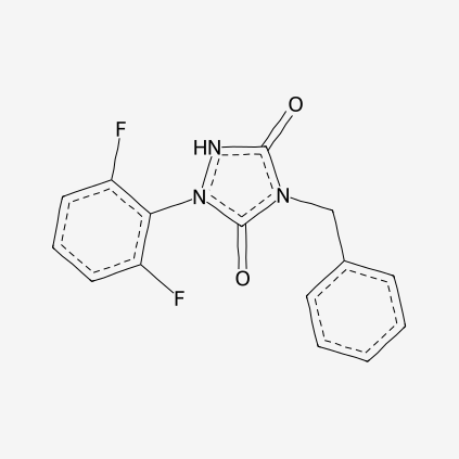 O=c1[nH]n(-c2c(F)cccc2F)c(=O)n1Cc1ccccc1